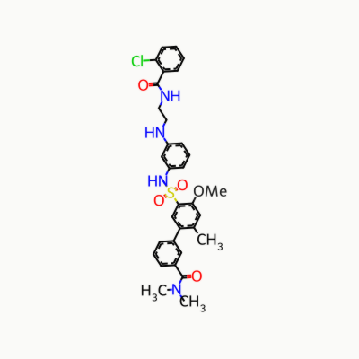 COc1cc(C)c(-c2cccc(C(=O)N(C)C)c2)cc1S(=O)(=O)Nc1cccc(NCCNC(=O)c2ccccc2Cl)c1